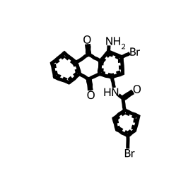 Nc1c(Br)cc(NC(=O)c2ccc(Br)cc2)c2c1C(=O)c1ccccc1C2=O